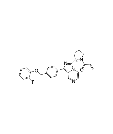 C=CC(=O)N1CCC[C@H]1c1nc(-c2ccc(COc3ccccc3F)cc2)c2cnccn12